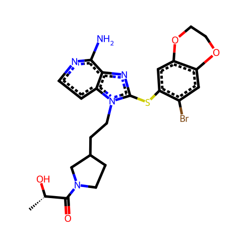 C[C@H](O)C(=O)N1CCC(CCn2c(Sc3cc4c(cc3Br)OCCO4)nc3c(N)nccc32)C1